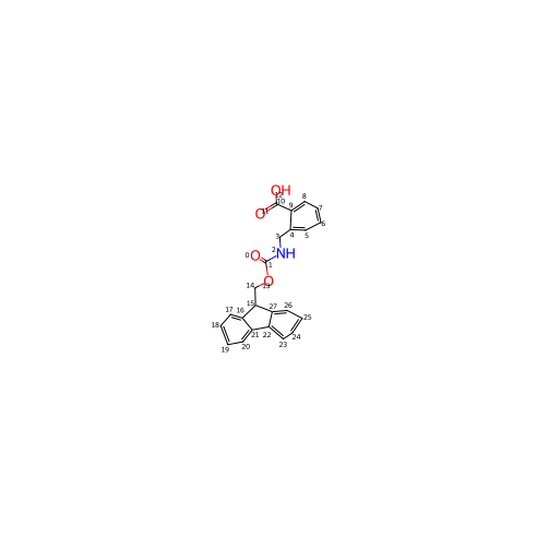 O=C(NCc1ccccc1C(=O)O)OCC1c2ccccc2-c2ccccc21